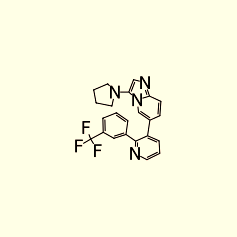 FC(F)(F)c1cccc(-c2ncccc2-c2ccc3ncc(N4CCCC4)n3c2)c1